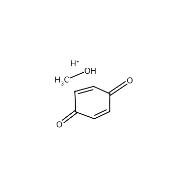 CO.O=C1C=CC(=O)C=C1.[H+]